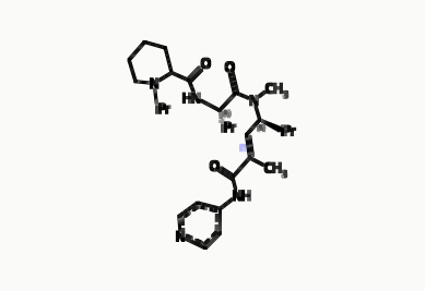 C/C(=C\[C@H](C(C)C)N(C)C(=O)[C@@H](NC(=O)C1CCCCN1C(C)C)C(C)C)C(=O)Nc1ccncc1